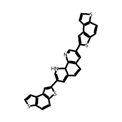 C1=Cc2cc(-c3cc4c(ccc5sccc54)s3)cnc2C2NC=C(c3cc4c(ccc5sccc54)s3)C=C12